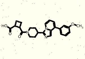 COc1cccc(-c2cccn3c(C4CCN(C(=O)C5CCC5C(=O)O)CC4)ncc23)c1